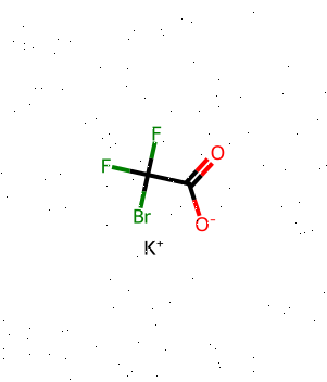 O=C([O-])C(F)(F)Br.[K+]